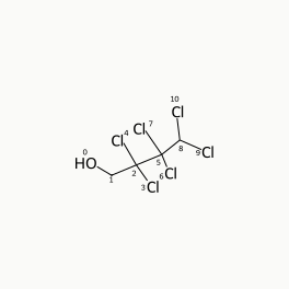 OCC(Cl)(Cl)C(Cl)(Cl)C(Cl)Cl